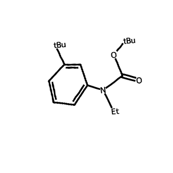 CCN(C(=O)OC(C)(C)C)c1cccc(C(C)(C)C)c1